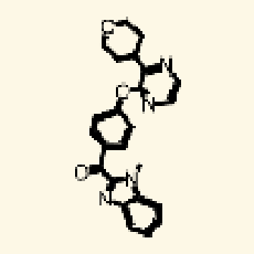 Cn1c(C(=O)c2ccc(Oc3nccnc3C3CCOCC3)cc2)nc2ccccc21